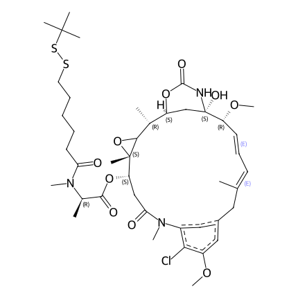 COc1cc2cc(c1Cl)N(C)C(=O)C[C@H](OC(=O)[C@@H](C)N(C)C(=O)CCCCCSSC(C)(C)C)[C@]1(C)OC1[C@H](C)[C@@H]1C[C@@](O)(NC(=O)O1)[C@H](OC)/C=C/C=C(\C)C2